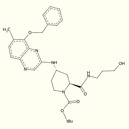 Cc1ccc2ncc(N[C@H]3CCN(C(=O)OC(C)(C)C)[C@H](C(=O)NCCCO)C3)nc2c1OCc1ccccc1